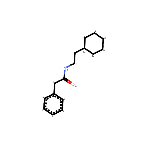 O=C(Cc1ccccc1)NCCC1CCCCC1